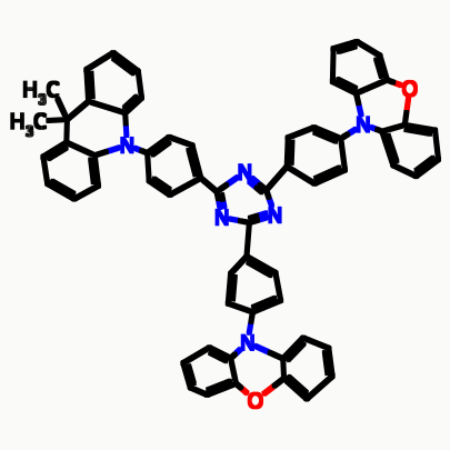 CC1(C)c2ccccc2N(c2ccc(-c3nc(-c4ccc(N5c6ccccc6Oc6ccccc65)cc4)nc(-c4ccc(N5c6ccccc6Oc6ccccc65)cc4)n3)cc2)c2ccccc21